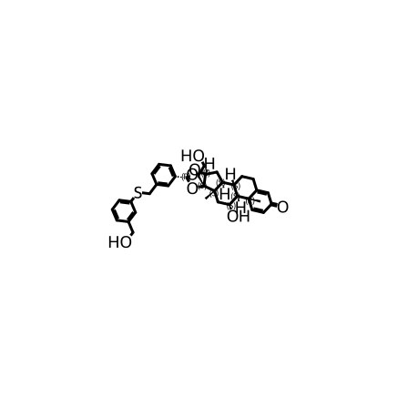 C[C@]12C=CC(=O)C=C1CC[C@@H]1[C@@H]2[C@@H](O)C[C@@]2(C)[C@H]1C[C@H]1O[C@@H](c3cccc(CSc4cccc(CO)c4)c3)O[C@]12C(=O)CO